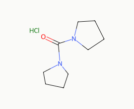 Cl.O=C(N1CCCC1)N1CCCC1